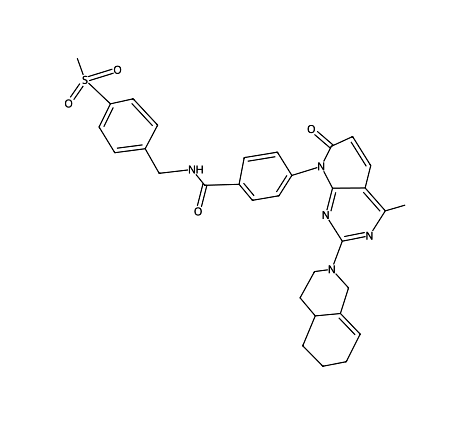 Cc1nc(N2CCC3CCCC=C3C2)nc2c1ccc(=O)n2-c1ccc(C(=O)NCc2ccc(S(C)(=O)=O)cc2)cc1